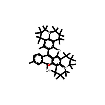 Cc1ccc(C2=c3c(C)c4c5c(c3Oc3c2c(C)c2c6c3C(C)(C)C(C)(C)C(C)(C)N6C(C)(C)C(C)(C)C2(C)C)C(C)(C)C(C)(C)C(C)(C)[N+]=5C(C)(C)C(C)(C)C4(C)C)c(C(=O)O)c1